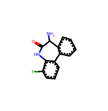 NC1C(=O)Nc2c(F)cccc2-c2ccccc21